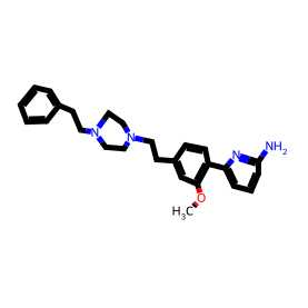 COc1cc(CCN2CCN(CCc3ccccc3)CC2)ccc1-c1cccc(N)n1